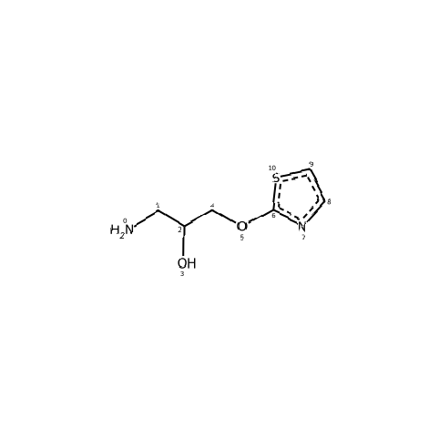 NCC(O)COc1nccs1